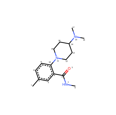 CNC(=O)c1cc(C)ccc1N1CCC(N(C)C)CC1